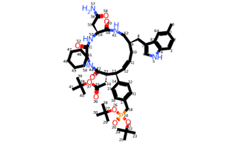 Cc1ccc2[nH]cc(C[C@H]3CC=C[C@@H](c4ccc(CP(=O)(OC(C)(C)C)OC(C)(C)C)cc4)[C@H](CC(=O)OC(C)(C)C)C(=O)NC4(CCCCC4)C(=O)N[C@@H](CC(N)=O)C(=O)NC3)c2c1